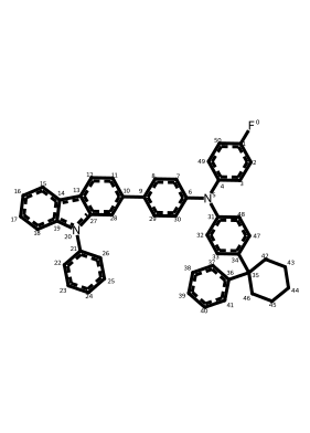 Fc1ccc(N(c2ccc(-c3ccc4c5ccccc5n(-c5ccccc5)c4c3)cc2)c2ccc(C3(c4ccccc4)CCCCC3)cc2)cc1